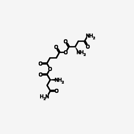 NC(=O)C[C@H](N)C(=O)OC(=O)CCC(=O)OC(=O)[C@@H](N)CC(N)=O